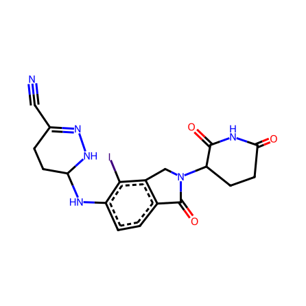 N#CC1=NNC(Nc2ccc3c(c2I)CN(C2CCC(=O)NC2=O)C3=O)CC1